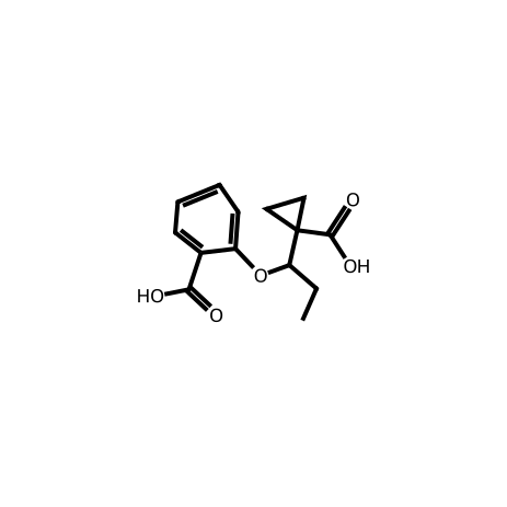 CCC(Oc1ccccc1C(=O)O)C1(C(=O)O)CC1